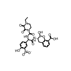 CCN1CCN(C(=O)NC(C(=O)N[C@H]2Cc3cccc(C(=O)O)c3OB2O)c2ccc(O)c([N+](=O)[O-])c2)C(=O)C1=O